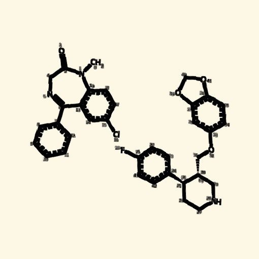 CN1C(=O)CN=C(c2ccccc2)c2cc(Cl)ccc21.Fc1ccc([C@@H]2CCNC[C@H]2COc2ccc3c(c2)OCO3)cc1